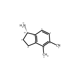 Cc1c(C#N)ccc2c1CC[C@@H]2N